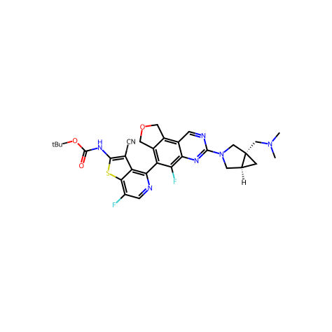 CN(C)C[C@]12C[C@H]1CN(c1ncc3c4c(c(-c5ncc(F)c6sc(NC(=O)OC(C)(C)C)c(C#N)c56)c(F)c3n1)COC4)C2